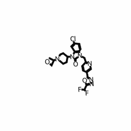 O=c1n(Cc2ccc(-c3nnc(C(F)F)o3)cn2)c2ccc(Cl)cc2n1C1CCN(C2COC2)CC1